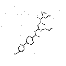 C=NCS/C(=N\[C@H](C)C(C)C(C=N)SC)O[C@@H](C)C1CCN(c2ncc(Cl)cn2)CC1